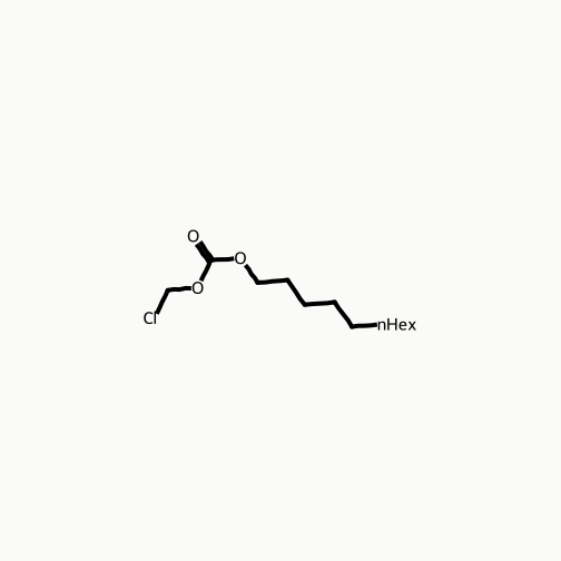 CCCCCCCCCCCOC(=O)OCCl